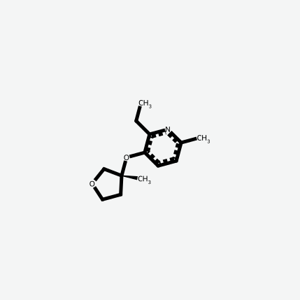 CCc1nc(C)ccc1O[C@]1(C)CCOC1